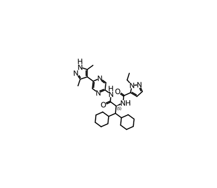 CCn1nccc1C(=O)N[C@H](C(=O)Nc1cnc(-c2c(C)n[nH]c2C)cn1)C(C1CCCCC1)C1CCCCC1